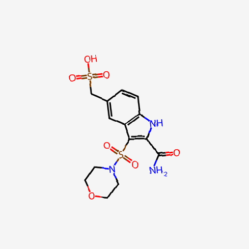 NC(=O)c1[nH]c2ccc(CS(=O)(=O)O)cc2c1S(=O)(=O)N1CCOCC1